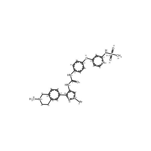 CC(C)n1cc(NC(=O)Nc2ccc(Oc3ccnc(NS(C)(=O)=O)c3)cc2)c(-c2ccc3c(c2)CCN(C)C3)n1